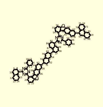 c1ccc(-c2nc(-c3cccc4ccccc34)nc(-c3cccc4oc5cc6cc(-c7ccc8cc(-c9cccc%10c(-c%11nc(-c%12ccccc%12)nc(-c%12cccc%13oc%14cc%15cc(-c%16cc%17ccccc%17c%17ccccc%16%17)ccc%15cc%14c%12%13)n%11)cccc9%10)ccc8c7)ccc6cc5c34)n2)cc1